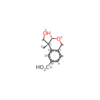 C[C@@]1(CO)COCc2ccc(C(=O)O)cc21